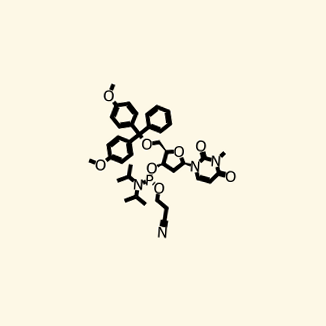 COc1ccc(C(OC[C@H]2O[C@@H](n3ccc(=O)n(C)c3=O)C[C@H]2OP(OCCC#N)N(C(C)C)C(C)C)(c2ccccc2)c2ccc(OC)cc2)cc1